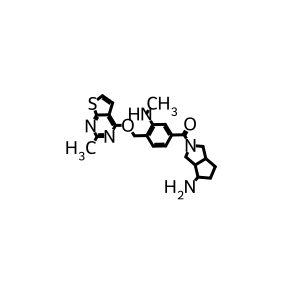 CNc1cc(C(=O)N2CC3CCC(N)C3C2)ccc1COc1nc(C)nc2sccc12